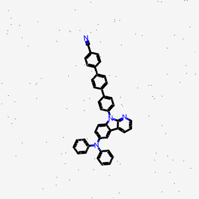 N#Cc1ccc(-c2ccc(-c3ccc(-n4c5ccc(N(c6ccccc6)c6ccccc6)cc5c5cccnc54)cc3)cc2)cc1